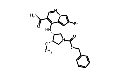 CO[C@H]1CN(C(=O)OCc2ccccc2)C[C@H]1Nc1c(C(N)=O)cnn2cc(Br)cc12